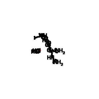 CCC(N)(CC)CCNCCCCN(CCC(N)(CC)CC)C(=O)CCCC(=O)O[C@H]1CC[C@@]2(C)C(=CC[C@H]3[C@@H]4CC[C@H](C(C)CCCC(C)C)[C@@]4(C)CC[C@@H]32)C1.Cl.Cl.Cl